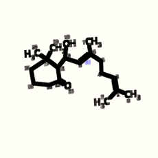 CC(C)=CCC/C(C)=C/C(O)C1C(=O)CCCC1(C)C